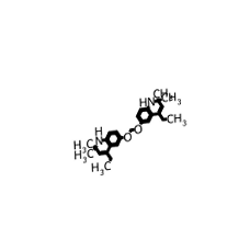 CCC1=CC(C)(C)Nc2ccc(OCOc3ccc4c(c3)C(CC)=CC(C)(C)N4)cc21